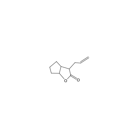 C=CCC1C(=O)OC2CCCC21